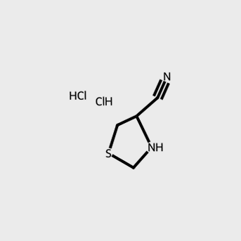 Cl.Cl.N#CC1CSCN1